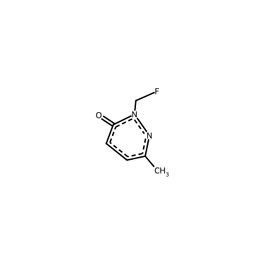 Cc1ccc(=O)n(CF)n1